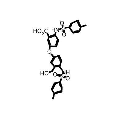 Cc1ccc(S(=O)(=O)Nc2ccc(Oc3ccc(NS(=O)(=O)c4ccc(C)cc4)c(C(=O)O)c3)cc2CO)cc1